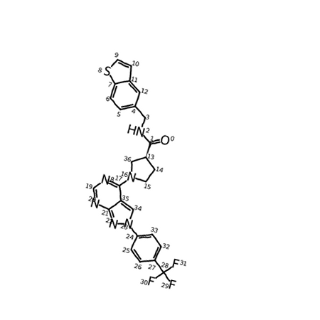 O=C(NCc1ccc2sccc2c1)[C@H]1CCN(c2ncnc3nn(-c4ccc(C(F)(F)F)cc4)cc23)C1